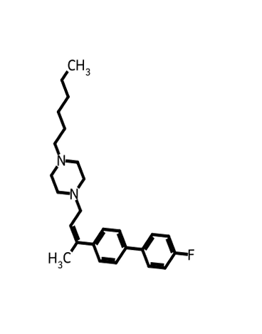 CCCCCCN1CCN(CC=C(C)c2ccc(-c3ccc(F)cc3)cc2)CC1